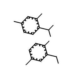 CC(Oc1ccc(Cl)cc1CBr)c1ccc(F)cc1F